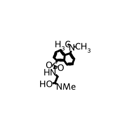 CNC(O)CNS(=O)(=O)c1cccc2c(N(C)C)cccc12